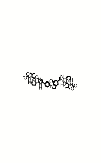 COC(=O)N[C@H](C(=O)N1CCC[C@H]1c1ncc(-c2ccc3c(c2)OC2=CC(c4cnc([C@@H]5CCCN5C(=O)[C@@H](NC(=O)OC)C(C)C)[nH]4)CC4=C2N3CC4)[nH]1)C(C)C